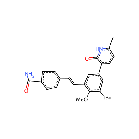 COc1c(/C=C/c2ccc(C(N)=O)cc2)cc(-c2ccc(C)[nH]c2=O)cc1C(C)(C)C